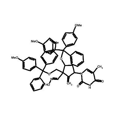 C=C1C(n2cc(C)c(=O)[nH]c2=O)CC(OC(c2ccccc2)(c2ccc(OC)cc2)c2ccc(OC)cc2)C1(C=NO)COC(c1ccccc1)(c1ccc(OC)cc1)c1ccc(OC)cc1